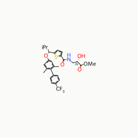 COC(=O)[C@@H](O)CNC(=O)c1ccc(C(Oc2cc(C)c(-c3ccc(C(F)(F)F)cc3)c(C)c2)C(C)C)s1